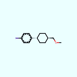 COC[C@H]1CC[C@H](c2ccc(I)cc2)CC1